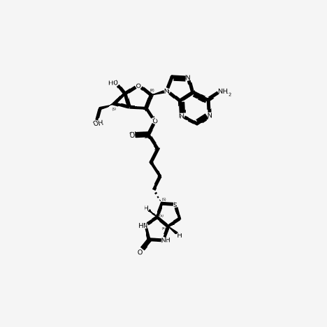 Nc1ncnc2c1ncn2[C@@H]1OC2(O)C(C1OC(=O)CCCC[C@@H]1SC[C@@H]3NC(=O)N[C@@H]31)[C@H]2CO